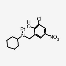 CCN(Cc1cc([N+](=O)[O-])cc(Cl)c1O)C1CCCCC1